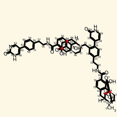 CN1CC[C@]23CC(=O)CC[C@@]2(O)[C@H]1Cc1ccc(C(=O)NCCc2ccc(-c4cc[nH]c(=O)c4)c(CN4CC[C@]56CC(=O)CC[C@@]5(O)[C@H]4Cc4ccc(C(=O)NCCc5ccc(-c7cnc(=O)[nH]c7)cc5)c(O)c46)c2)c(O)c13